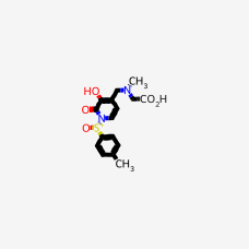 Cc1ccc([S+]([O-])n2ccc(CN(C)CC(=O)O)c(O)c2=O)cc1